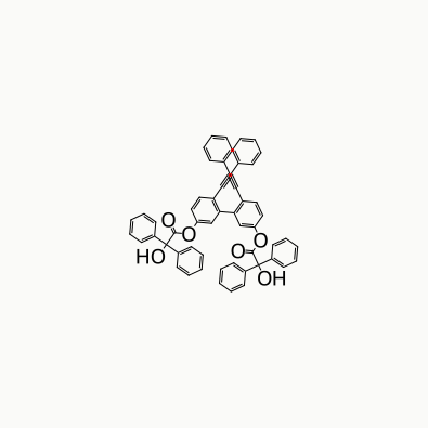 O=C(Oc1ccc(C#Cc2ccccc2)c(-c2cc(OC(=O)C(O)(c3ccccc3)c3ccccc3)ccc2C#Cc2ccccc2)c1)C(O)(c1ccccc1)c1ccccc1